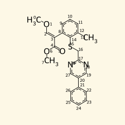 CO/C=C(/C(=O)OC)c1cccc(C)c1SCc1ncc(-c2ccccc2)cn1